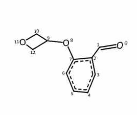 O=Cc1ccccc1OC1COC1